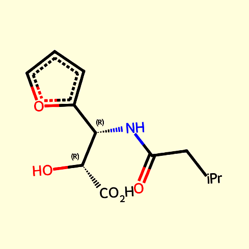 CC(C)CC(=O)N[C@@H](c1ccco1)[C@@H](O)C(=O)O